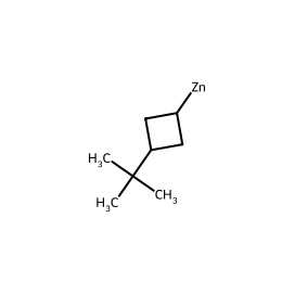 CC(C)(C)C1C[CH]([Zn])C1